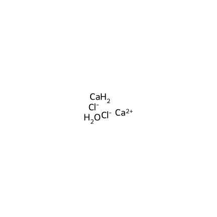 O.[Ca+2].[CaH2].[Cl-].[Cl-]